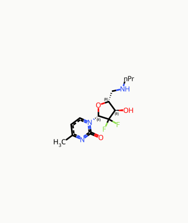 CCCNC[C@H]1O[C@@H](n2ccc(C)nc2=O)C(F)(F)[C@@H]1O